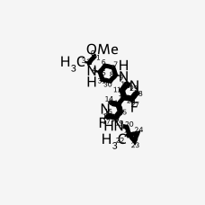 COC[C@H](C)N[C@H]1CC[C@H](Nc2cc(-c3cnc(F)c(NCC4(C)CC4)c3)c(F)cn2)CC1